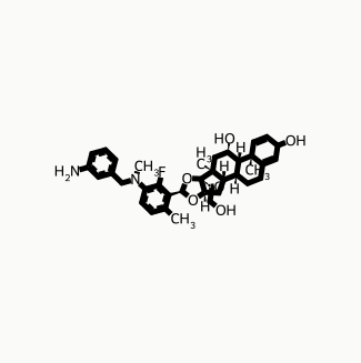 Cc1ccc(N(C)Cc2cccc(N)c2)c(F)c1[C@@H]1O[C@@H]2C[C@H]3[C@@H]4CCC5=CC(O)C=C[C@]5(C)[C@H]4[C@@H](O)C[C@]3(C)[C@]2(C(=O)CO)O1